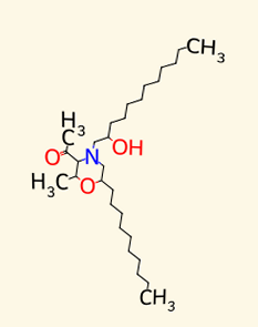 CCCCCCCCCCC(O)CN1CC(CCCCCCCCCC)OC(C)C1C(C)=O